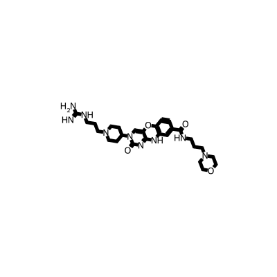 N=C(N)NCCCN1CCC(n2cc3c(nc2=O)Nc2cc(C(=O)NCCCN4CCOCC4)c#cc2O3)CC1